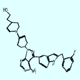 Nc1ncnc2c1c(-c1ccc3[nH]c(Cc4ccccc4F)cc3c1)nn2C1CCC(N2CCC(CCO)CC2)CC1